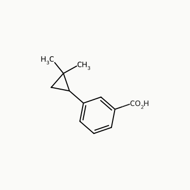 CC1(C)CC1c1cccc(C(=O)O)c1